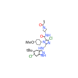 C=CC(=O)N1CC(NC(=O)c2c(Cl)nc(CNc3n[nH]c4cc(Cl)c(C(C)(C)C)cc34)n2C2CCC(OC)CC2)C1